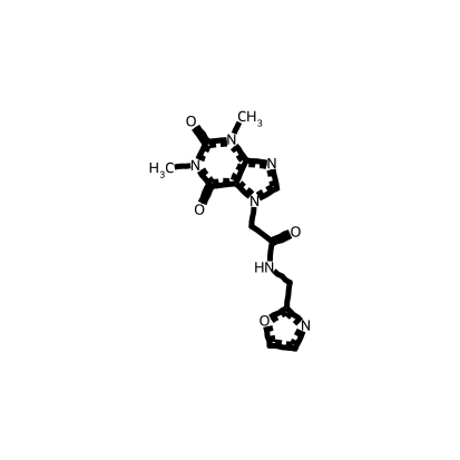 Cn1c(=O)c2c(ncn2CC(=O)NCc2ncco2)n(C)c1=O